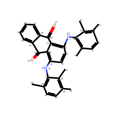 Cc1ccc(C)c(Nc2ccc(Nc3c(C)ccc(C)c3C)c3c2C(=O)c2ccccc2C3=O)c1C